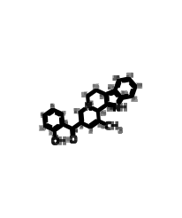 CC1=CC(C(=O)c2ccccc2O)=CN2CCc3c([nH]c4ccccc34)C12